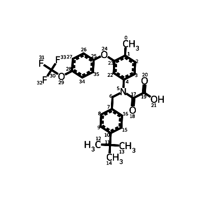 Cc1ccc(N(Cc2ccc(C(C)(C)C)cc2)C(=O)C(=O)O)cc1Oc1ccc(OC(F)(F)F)cc1